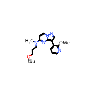 COc1ncccc1-c1cnn2ccc(N(C)CCCOC(C)(C)C)nc12